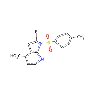 CCc1cc2c(C(=O)O)ccnc2n1S(=O)(=O)c1ccc(C)cc1